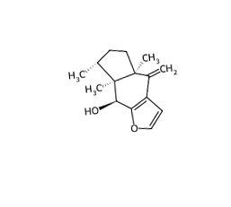 C=C1c2ccoc2[C@@H](O)[C@@]2(C)[C@H](C)CC[C@@]12C